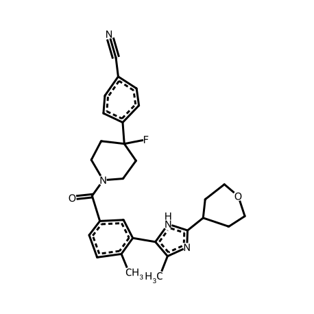 Cc1ccc(C(=O)N2CCC(F)(c3ccc(C#N)cc3)CC2)cc1-c1[nH]c(C2CCOCC2)nc1C